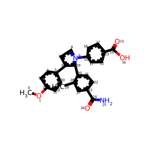 COc1ccc(-c2ccn(-c3ccc(C(=O)O)cc3)c2-c2ccc(C(N)=O)cc2C)cc1